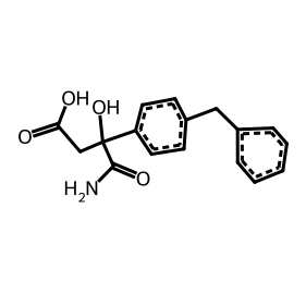 NC(=O)C(O)(CC(=O)O)c1ccc(Cc2ccccc2)cc1